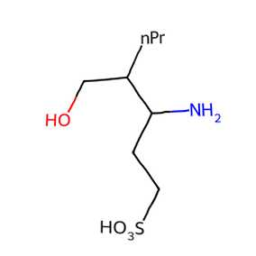 CCCC(CO)C(N)CCS(=O)(=O)O